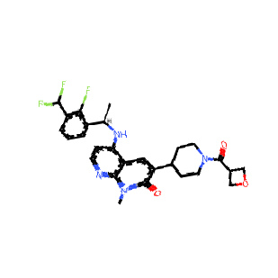 C[C@@H](Nc1ccnc2c1cc(C1CCN(C(=O)C3COC3)CC1)c(=O)n2C)c1cccc(C(F)F)c1F